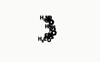 CN(C)C(=O)c1nc2c(ccc3cnc(Nc4cccc(S(N)(=O)=O)c4)nc32)s1